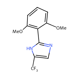 COc1cccc(OC)c1-c1ncc(C(F)(F)F)[nH]1